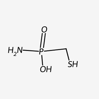 NP(=O)(O)CS